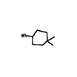 CC1(C)CCC(S)CC1